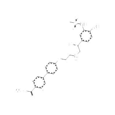 COC(=O)c1ccc(-c2ccc(OCCN[C@@H](C)[C@@H](O)c3ccc(O)c(NS(C)(=O)=O)c3)cc2)cc1